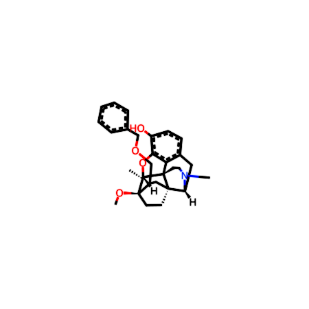 CO[C@]12CC[C@@]3(C[C@]1(C)COCc1ccccc1)[C@H]1Cc4ccc(O)c5c4[C@@]3(CCN1C)[C@H]2O5